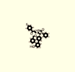 O=C(/C=C/[C@@H]1NC(=O)N(c2ccccc2)[C@@H]1c1ccc(-c2cccc(O)c2)cc1OCc1ccccc1)c1ccc(F)cc1